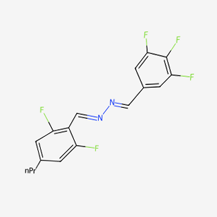 CCCc1cc(F)c(/C=N/N=C/c2cc(F)c(F)c(F)c2)c(F)c1